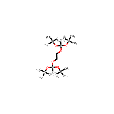 C[Si](C)(C)O[Si](C)(OCCO[Si](C)(O[Si](C)(C)C)O[Si](C)(C)C)O[Si](C)(C)C